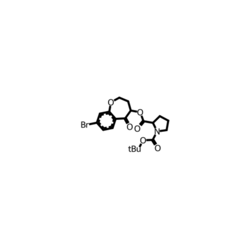 CC(C)(C)OC(=O)N1CCCC1C(=O)OC1CCOc2cc(Br)ccc2C1=O